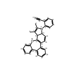 CC1=C(C)N(c2ccccc2C#N)C2C=CC3=C(Oc4ccccc4-c4ccccc43)C12